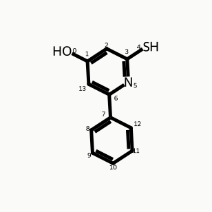 Oc1cc(S)nc(-c2ccccc2)c1